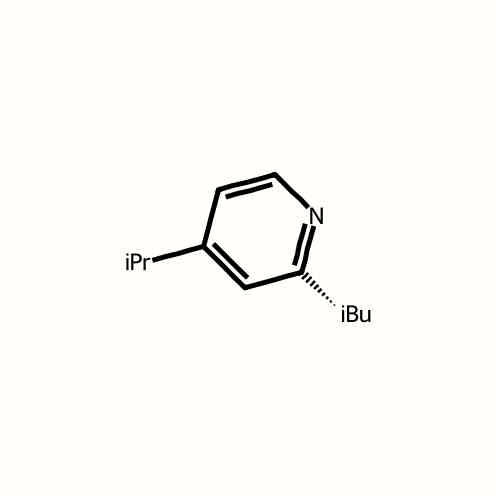 CC[C@@H](C)c1cc(C(C)C)ccn1